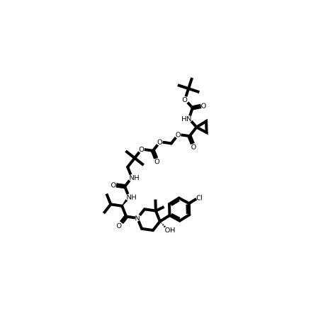 CC(C)[C@@H](NC(=O)NCC(C)(C)OC(=O)OCOC(=O)C1(NC(=O)OC(C)(C)C)CC1)C(=O)N1CC[C@](O)(c2ccc(Cl)cc2)C(C)(C)C1